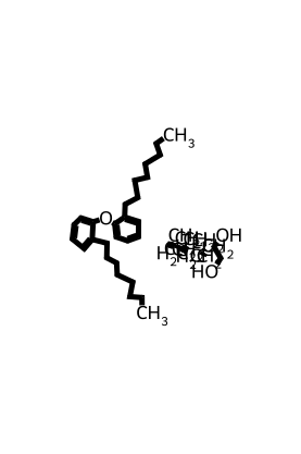 C=C.C=C.C=C.C=C.C=C.CCCCCCCCc1ccccc1Oc1ccccc1CCCCCCCC.OCCO